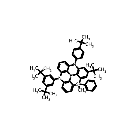 CC(C)(C)c1ccc(N2c3cccc4c3B3c5c(cccc5[Si](C)(c5ccccc5)c5cc(C(C)(C)C)cc2c53)N4c2cc(C(C)(C)C)cc(C(C)(C)C)c2)cc1